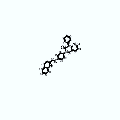 O=C(Cc1ccccc1)N(Cc1cccnc1)c1ccc(OCc2ccc3ccccc3n2)cc1